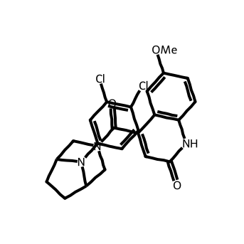 COc1ccc2[nH]c(=O)cc(C(=O)N3CC4CCC(C3)N4c3ccc(Cl)c(Cl)c3)c2c1